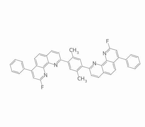 Cc1cc(-c2ccc3ccc4c(-c5ccccc5)cc(F)nc4c3n2)c(C)cc1-c1ccc2ccc3c(-c4ccccc4)cc(F)nc3c2n1